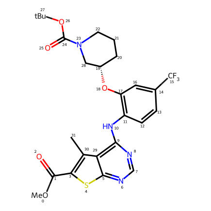 COC(=O)c1sc2ncnc(Nc3ccc(C(F)(F)F)cc3O[C@H]3CCCN(C(=O)OC(C)(C)C)C3)c2c1C